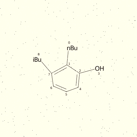 CCCCc1c(O)cccc1C(C)CC